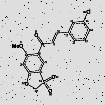 COc1cc2c(cc1C(=O)/C=C/c1cccc(Cl)c1)S(=O)(=O)CO2